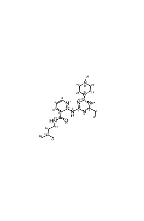 CCc1nc(Nc2ncccc2C(=O)NCCC(C)C)nc(N2CCN(C)CC2)n1